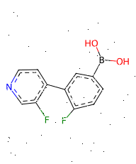 OB(O)c1ccc(F)c(-c2ccncc2F)c1